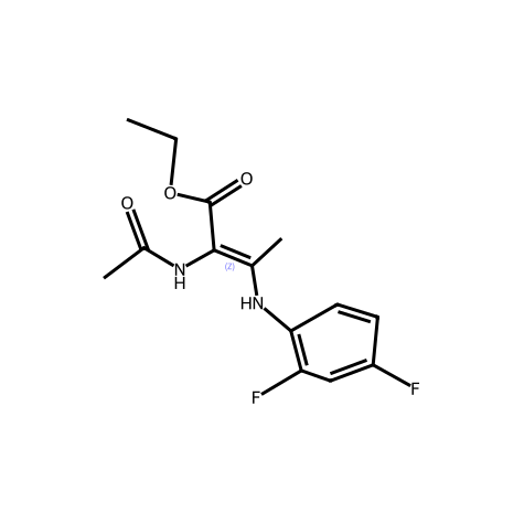 CCOC(=O)/C(NC(C)=O)=C(\C)Nc1ccc(F)cc1F